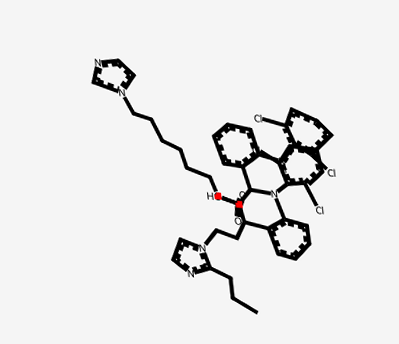 CCCc1nccn1CCC(C(=O)OCCCCCCn1ccnc1)c1ccccc1N(c1c(Cl)cccc1Cl)C(C(=O)O)c1ccccc1Nc1c(Cl)cccc1Cl